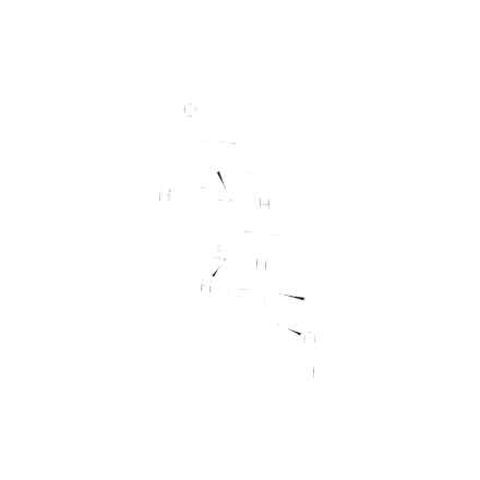 C[C@]12CCC(=O)C[C@@H]1CC[C@@H]1[C@@H]2CC[C@]2(C)[C@@H](OI)CC[C@@H]12